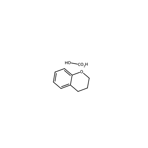 O=C(O)O.c1ccc2c(c1)CCCO2